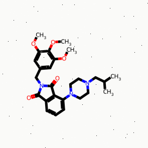 COc1cc(CN2C(=O)c3cccc(N4CCN(CC(C)C)CC4)c3C2=O)cc(OC)c1OC